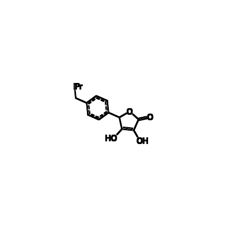 CC(C)Cc1ccc(C2OC(=O)C(O)=C2O)cc1